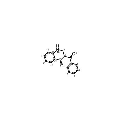 O=C(c1ccccc1)C1CNc2ccccc2C1=O